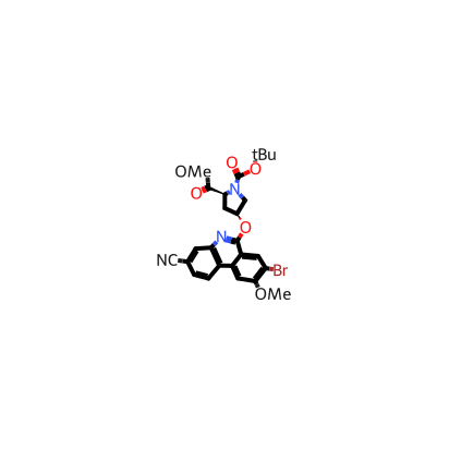 COC(=O)[C@@H]1C[C@@H](Oc2nc3cc(C#N)ccc3c3cc(OC)c(Br)cc23)CN1C(=O)OC(C)(C)C